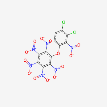 O=[N+]([O-])c1c(Oc2c([N+](=O)[O-])c([N+](=O)[O-])c([N+](=O)[O-])c([N+](=O)[O-])c2[N+](=O)[O-])ccc(Cl)c1Cl